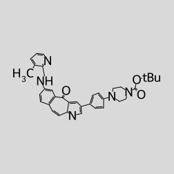 Cc1cccnc1CNc1ccc2ccc3ncc(-c4ccc(N5CCN(C(=O)OC(C)(C)C)CC5)cc4)cc3c(=O)c2c1